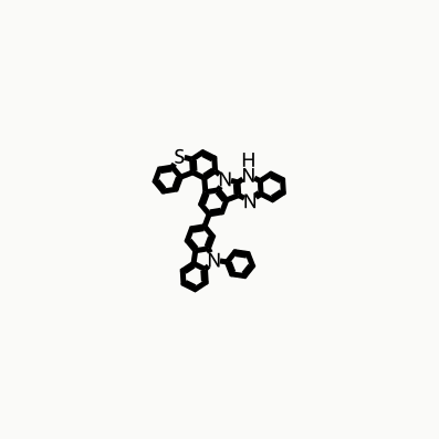 C1=CC2=Nc3c(n4c5ccc6sc7ccccc7c6c5c5cc(-c6ccc7c8ccccc8n(-c8ccccc8)c7c6)cc3c54)NC2C=C1